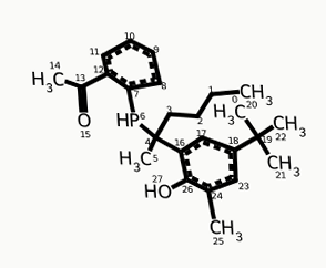 CCCCC(C)(Pc1ccccc1C(C)=O)c1cc(C(C)(C)C)cc(C)c1O